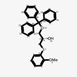 COc1ccccc1SC[C@@H](O)COC(c1ccccc1)(c1ccccc1)c1ccccc1